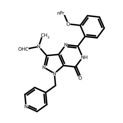 CCCOc1ccccc1-c1nc2c(N(C)C=O)nn(Cc3ccncc3)c2c(=O)[nH]1